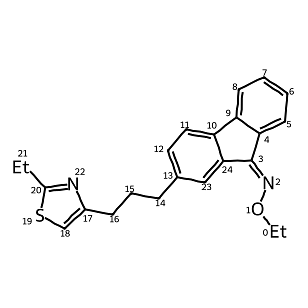 CCO/N=C1/c2ccccc2-c2ccc(CCCc3csc(CC)n3)cc21